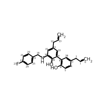 C=CCc1ccc(O)c(-c2cc(CC=C)cc(NCc3ccc(F)cc3)c2O)c1